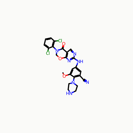 COc1cc(Nc2ncc3c(n2)OCN(c2c(Cl)cccc2Cl)C3=O)cc(C#N)c1N1CCNCC1